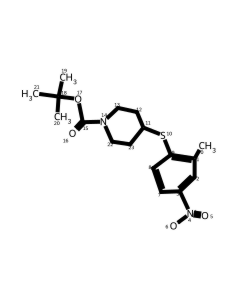 Cc1cc([N+](=O)[O-])ccc1SC1CCN(C(=O)OC(C)(C)C)CC1